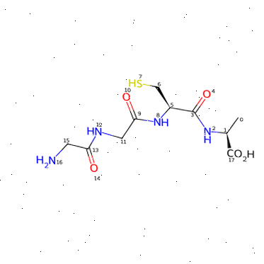 C[C@H](NC(=O)[C@H](CS)NC(=O)CNC(=O)CN)C(=O)O